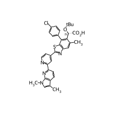 Cc1cc2nc(-c3ccnc(-c4ccc5c(C)cn(C)c5n4)c3)sc2c(-c2ccc(Cl)cc2)c1[C@H](OC(C)(C)C)C(=O)O